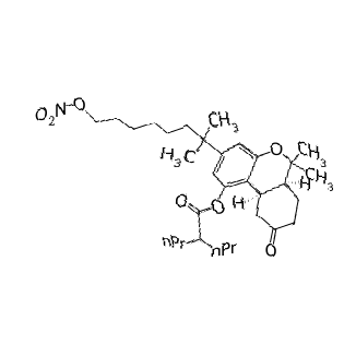 CCCC(CCC)C(=O)Oc1cc(C(C)(C)CCCCCCO[N+](=O)[O-])cc2c1[C@@H]1CC(=O)CC[C@@H]1C(C)(C)O2